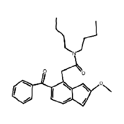 CCCCN(CCCC)C(=O)Cc1c(C(=O)c2ccccc2)ccc2ccc(OC)cc12